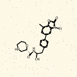 CCn1c(=O)oc2c(C)cc(-c3ccc(CC(C#N)NC(=O)[C@@H]4CNCCCO4)cc3)cc21